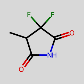 CC1C(=O)NC(=O)C1(F)F